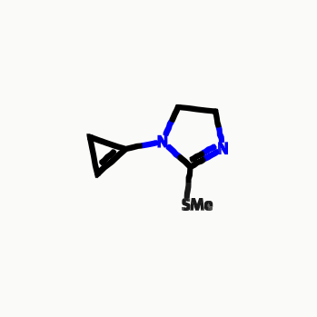 CSC1=NCCN1C1=CC1